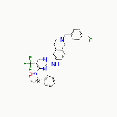 FC(F)(F)c1cnc(Nc2ccc3c(c2)CCN(Cc2ccc(CCl)cc2)C3)nc1N1OCC[C@H]1c1ccccc1